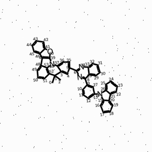 CC1(C)c2cc(-c3nc(-c4cccc(-n5c6ccccc6c6ccccc65)c4)c4ccccc4n3)ccc2-n2c3oc4ccccc4c3c3cccc1c32